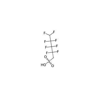 O=S(=O)(O)CC(F)(F)C(F)(F)C(F)(F)C(F)F